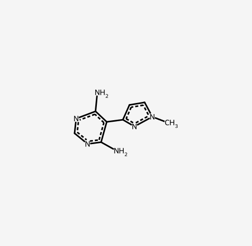 Cn1ccc(-c2c(N)ncnc2N)n1